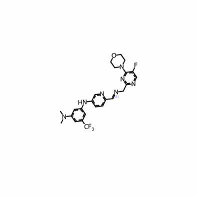 CN(C)c1cc(Nc2ccc(/C=N/Cc3ncc(F)c(N4CCOCC4)n3)nc2)cc(C(F)(F)F)c1